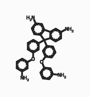 Nc1cccc(Oc2cccc(C3(c4cccc(Oc5cccc(N)c5)c4)c4ccc(N)cc4-c4cc(N)ccc43)c2)c1